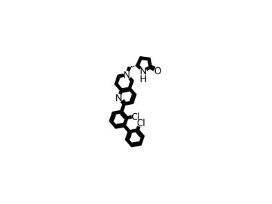 O=C1CC[C@@H](CN2CCc3nc(-c4cccc(-c5ccccc5Cl)c4Cl)ccc3C2)N1